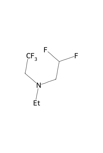 CCN(CC(F)F)CC(F)(F)F